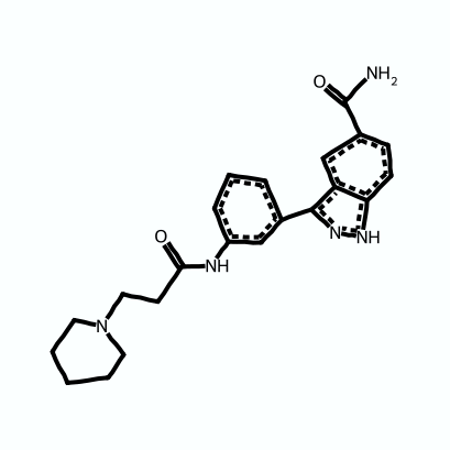 NC(=O)c1ccc2[nH]nc(-c3cccc(NC(=O)CCN4CCCCC4)c3)c2c1